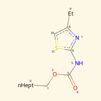 CCCCCCCCOC(=O)Nc1nc(CC)cs1